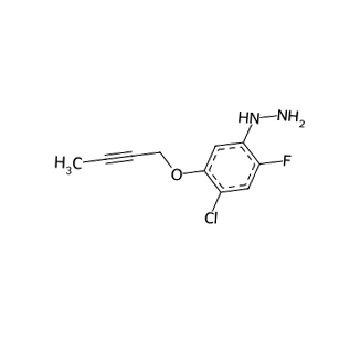 CC#CCOc1cc(NN)c(F)cc1Cl